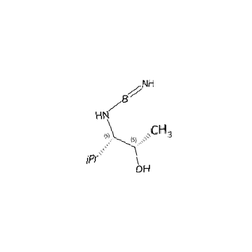 CC(C)[C@H](NB=N)[C@H](C)O